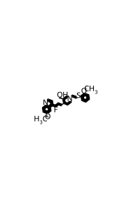 COc1ccc2nccc(C(F)CC[C@@H]3CCN(CCSc4ccccc4OC)C[C@@H]3CO)c2c1